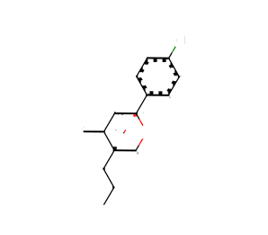 CCCC12COC(c3ccc(Cl)cc3)(CC1C)OC2